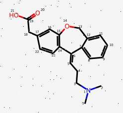 CN(C)CC/C=C1\c2ccccc2COc2cc(CC(=O)O)ccc21